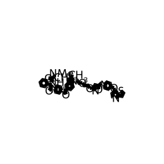 CN[C@@H](C)C(=O)N[C@H](C(=O)N1CCN(C(=O)c2ccc3c(c2)cc(C)n3CCOCCOc2cc(CN3CCC(Oc4ccnc5ccsc45)CC3)on2)CC1)C1CCCCC1